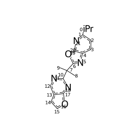 CC(C)c1ccc2nc(C(C)(C)c3ncc4ccoc4n3)oc2n1